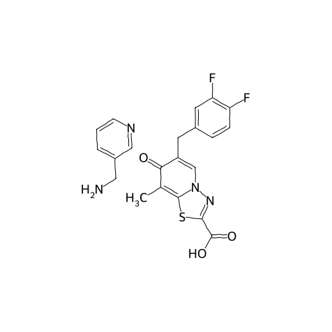 Cc1c(=O)c(Cc2ccc(F)c(F)c2)cn2nc(C(=O)O)sc12.NCc1cccnc1